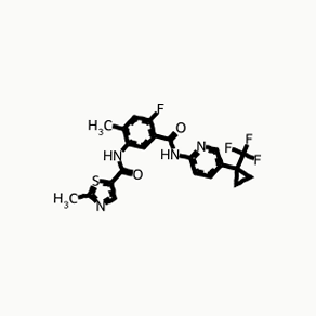 Cc1ncc(C(=O)Nc2cc(C(=O)Nc3ccc(C4(C(F)(F)F)CC4)cn3)c(F)cc2C)s1